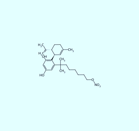 C=C(C)[C@@H]1CCC(C)=C[C@H]1c1c(O)cc(O)cc1C(C)(C)CCCCCCO[N+](=O)[O-]